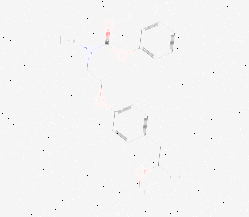 CCCCCCN(CCOc1ccc(CC(OCC)C(=O)O)cc1)C(=O)Oc1ccccc1